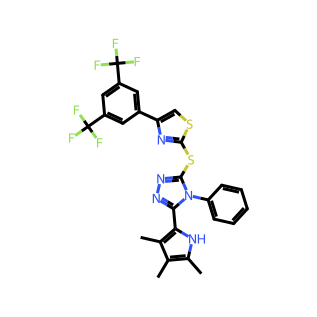 Cc1[nH]c(-c2nnc(Sc3nc(-c4cc(C(F)(F)F)cc(C(F)(F)F)c4)cs3)n2-c2ccccc2)c(C)c1C